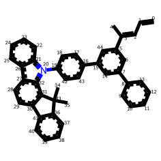 C=C/C=C(\C)c1cc(-c2ccccc2)cc(-c2ccc(-n3c4ccccc4c4ccc5c(c43)C(C)(C)c3ccccc3-5)cc2)c1